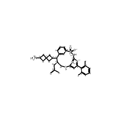 Cc1cccc(C)c1-c1cc2nc(n1)NS(=O)(=O)c1cccc(c1)C(C1CC3(CC(N)C3)C1)[C@H](CC(C)C)CO2